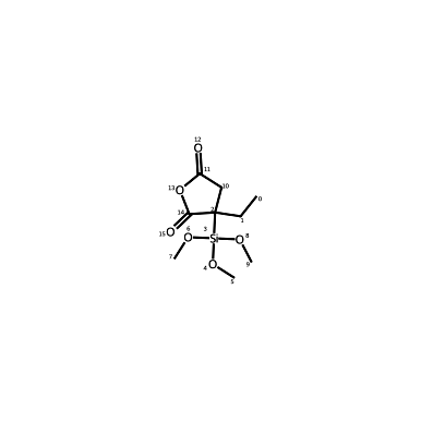 CCC1([Si](OC)(OC)OC)CC(=O)OC1=O